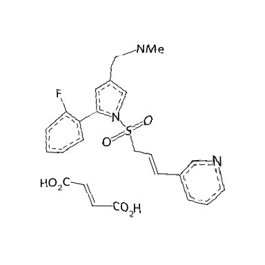 CNCc1cc(-c2ccccc2F)n(S(=O)(=O)CC=Cc2cccnc2)c1.O=C(O)/C=C/C(=O)O